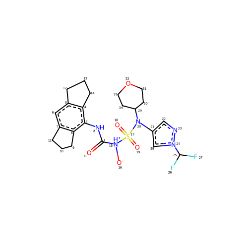 O=C(Nc1c2c(cc3c1CCC3)CCC2)[NH+]([O-])S(=O)(=O)N(c1cnn(C(F)F)c1)C1CCOCC1